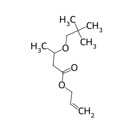 C=CCOC(=O)CC(C)OCC(C)(C)C